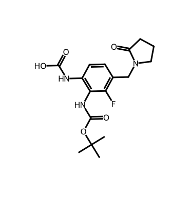 CC(C)(C)OC(=O)Nc1c(NC(=O)O)ccc(CN2CCCC2=O)c1F